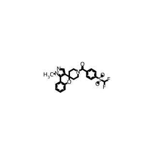 Cn1ncc2c1-c1ccccc1OC21CCN(C(=O)c2ccc(S(=O)(=O)C(F)F)cc2)CC1